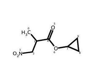 CC(C[N+](=O)[O-])C(=O)OC1CC1